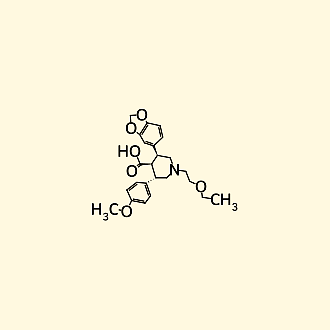 CCOCCN1C[C@H](c2ccc(OC)cc2)[C@@H](C(=O)O)[C@@H](c2ccc3c(c2)OCO3)C1